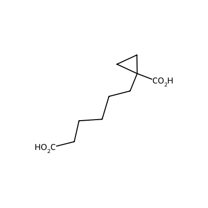 O=C(O)CCCCCC1(C(=O)O)CC1